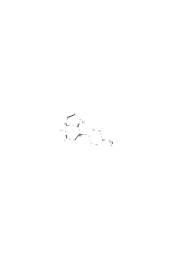 CNC1CCN(c2ccnn3ccnc23)CC1